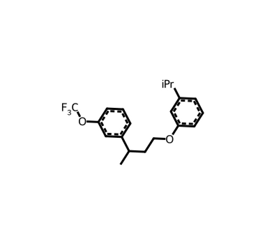 CC(C)c1cccc(OCCC(C)c2cccc(OC(F)(F)F)c2)c1